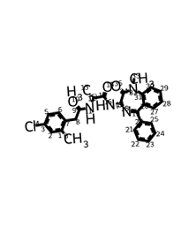 Cc1cc(Cl)ccc1CC(=O)N[C@@H](C)C(=O)N[C@H]1N=C(c2ccccc2)c2ccccc2N(C)C1=O